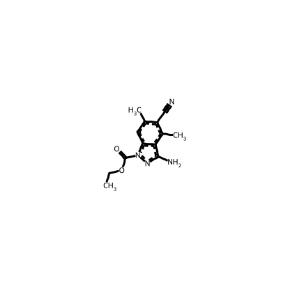 CCOC(=O)n1nc(N)c2c(C)c(C#N)c(C)cc21